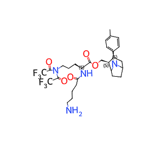 Cc1ccc([C@H]2CC3CCC([C@H]2COC(=O)[C@H](CCCN(C(=O)C(F)(F)F)C(=O)C(F)(F)F)NC(=O)CCCCN)N3C)cc1